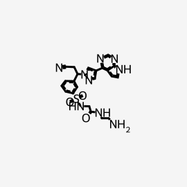 N#CCC(c1cccc(S(=O)(=O)NCC(=O)NCCN)c1)n1cc(-c2ncnc3[nH]ccc23)cn1